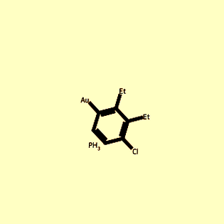 CCc1c(Cl)cc[c]([Au])c1CC.P